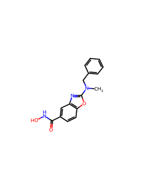 CN(Cc1ccccc1)c1nc2cc(C(=O)NO)ccc2o1